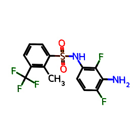 Cc1c(C(F)(F)F)cccc1S(=O)(=O)Nc1ccc(F)c(N)c1F